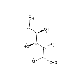 O=C[C@H](Cl)[C@@H](O)[C@@H](O)[C@H](O)CO